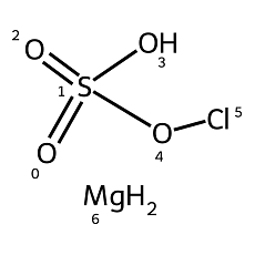 O=S(=O)(O)OCl.[MgH2]